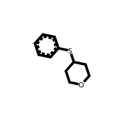 [c]1ccc(SC2CCOCC2)cc1